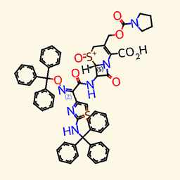 O=C(O)C1=C(COC(=O)N2CCCC2)C[S+]([O-])[C@H]2C(NC(=O)/C(=N\OC(c3ccccc3)(c3ccccc3)c3ccccc3)c3csc(NC(c4ccccc4)(c4ccccc4)c4ccccc4)n3)C(=O)N12